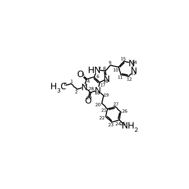 CCCn1c(=O)c2[nH]c(Cc3ccnnc3)nc2n(CCc2ccc(N)cc2)c1=O